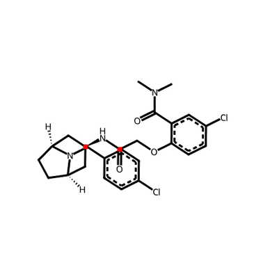 CN(C)C(=O)c1cc(Cl)ccc1OCC(=O)N[C@H]1C[C@H]2CC[C@@H](C1)N2Cc1ccc(Cl)cc1